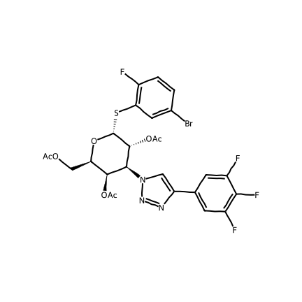 CC(=O)OC[C@H]1O[C@H](Sc2cc(Br)ccc2F)[C@H](OC(C)=O)[C@@H](n2cc(-c3cc(F)c(F)c(F)c3)nn2)[C@H]1OC(C)=O